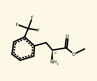 COC(=O)[C@@H](N)Cc1ccccc1C(F)(F)F